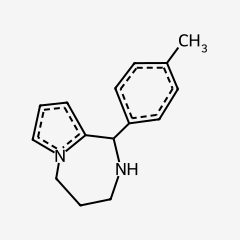 Cc1ccc(C2NCCCn3cccc32)cc1